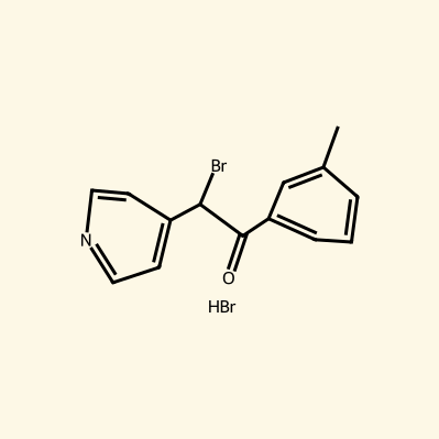 Br.Cc1cccc(C(=O)C(Br)c2ccncc2)c1